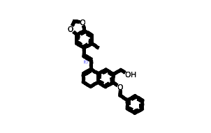 Cc1cc2c(cc1/C=C/C1=CCCc3cc(OCc4ccccc4)c(CO)cc31)OCO2